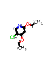 CCOc1cc(OCC)c(Cl)cn1